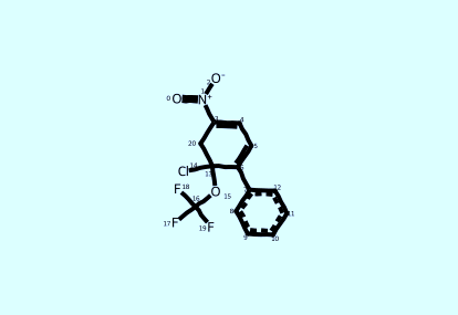 O=[N+]([O-])C1=CC=C(c2ccccc2)C(Cl)(OC(F)(F)F)C1